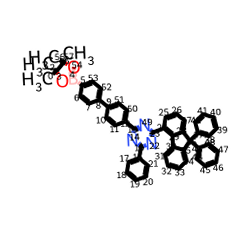 CC1(C)OB(c2ccc(-c3ccc(-c4nc(-c5ccccc5)nc(-c5cccc6c5-c5ccccc5C6(c5ccccc5)c5ccccc5)n4)cc3)cc2)OC1(C)C